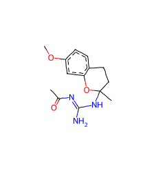 COc1ccc2c(c1)OC(C)(NC(N)=NC(C)=O)CC2